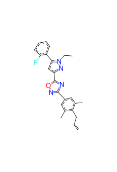 C=CCc1c(C)cc(-c2noc(-c3cc(-c4ccccc4F)n(CC)n3)n2)cc1C